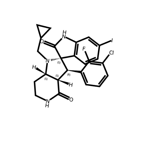 O=C1NCC[C@H]2[C@@H]1[C@H](c1cccc(Cl)c1F)[C@]1(C(=O)Nc3cc(I)ccc31)N2CC1CC1